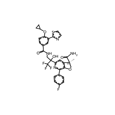 C[C@]1(C(N)=O)COc2c1cc(C(O)(CNC(=O)c1ccc(OC3CC3)c(-c3nccs3)c1)C(F)(F)F)nc2-c1ccc(F)cc1